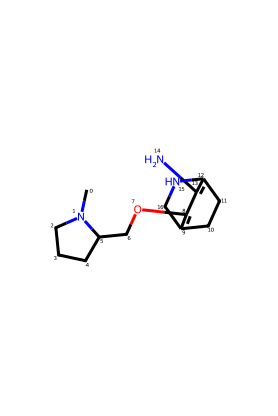 CN1CCCC1COC1=C2CCC(=C1N)NC2